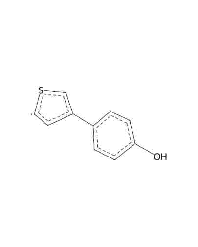 Oc1ccc(-c2c[c]sc2)cc1